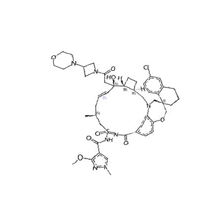 COc1nn(C)cc1C(=O)NS1(=O)=NC(=O)c2ccc3c(c2)N(C[C@@H]2CC[C@H]2[C@@](O)(CC(=O)N2CC(N4CCOCC4)C2)/C=C/C[C@H](C)C1)C[C@@]1(CCCc2cc(Cl)ccc21)CO3